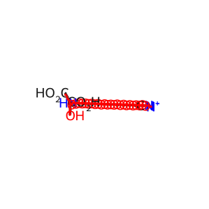 [N-]=[N+]=NCCOCCOCCOCCOCCOCCOCCOCCOCCOCCOCCOCCOCCOCCOCCOCCOCCOCCOCCOCCOCCOCCOCCOCCNC(=O)C(CCCCCCCCCCCO)(CCCCCCCCCCC(=O)O)C(=O)O